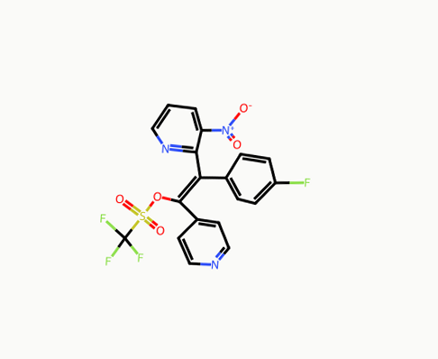 O=[N+]([O-])c1cccnc1C(=C(OS(=O)(=O)C(F)(F)F)c1ccncc1)c1ccc(F)cc1